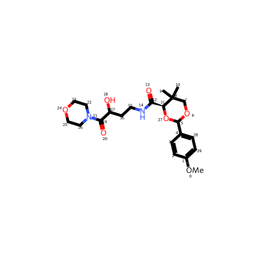 COc1ccc(C2OCC(C)(C)[C@H](C(=O)NCCC(O)C(=O)N3CCOCC3)O2)cc1